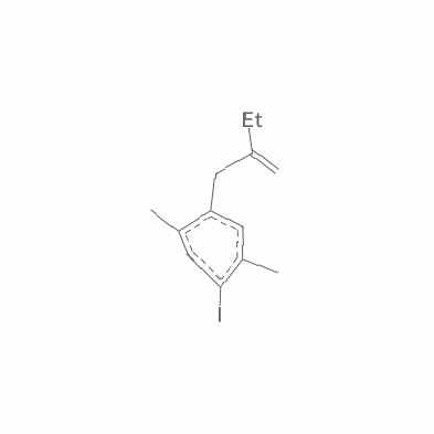 C=C(CC)Cc1cc(C)c(I)cc1C